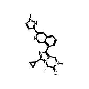 C[C@H]1C(=O)N(C)Cc2c(-c3cccc4cc(-c5ccn(C)n5)ncc34)nc(C3CC3)n21